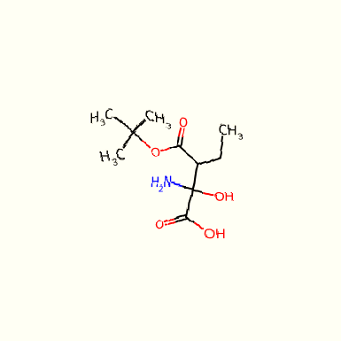 CCC(C(=O)OC(C)(C)C)C(N)(O)C(=O)O